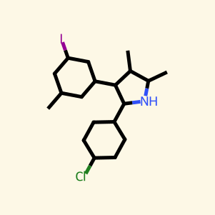 CC1CC(I)CC(C2C(C)C(C)NC2C2CCC(Cl)CC2)C1